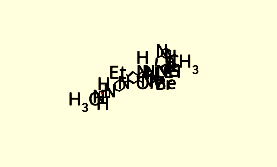 CCc1cc(Nc2ncc(Br)c(Nc3ccc4nccnc4c3P(C)(C)=S)n2)c(OC)cc1N1CCC(N2C[C@@H]3C[C@H]2CN3C)CC1